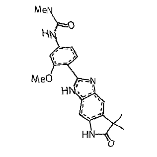 CNC(=O)Nc1ccc(-c2nc3cc4c(cc3[nH]2)NC(=O)C4(C)C)c(OC)c1